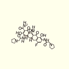 NC(=O)C1=C(O)[C@@H](NC(=O)CN2CCCC2)[C@@H]2C[C@@H]3Cc4c(F)cc(NC(=O)CN5CCCC5)c(O)c4C(=O)C3=C(O)[C@]2(O)C1=O